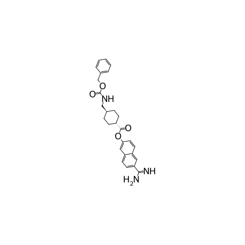 N=C(N)c1ccc2cc(OC(=O)[C@H]3CC[C@H](CNC(=O)OCc4ccccc4)CC3)ccc2c1